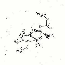 CCC(CC)OP(N)(=O)OC(C)(CC)C(CC)CC